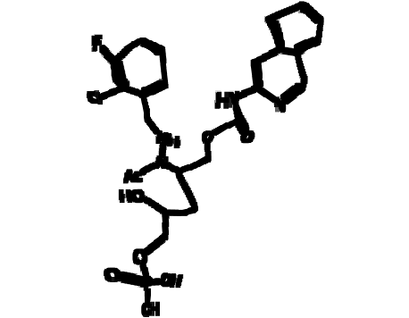 CC(=O)N(NCc1cccc(F)c1Cl)C(COC(=O)Nc1cc2ccccc2cn1)CC(O)COP(=O)(O)O